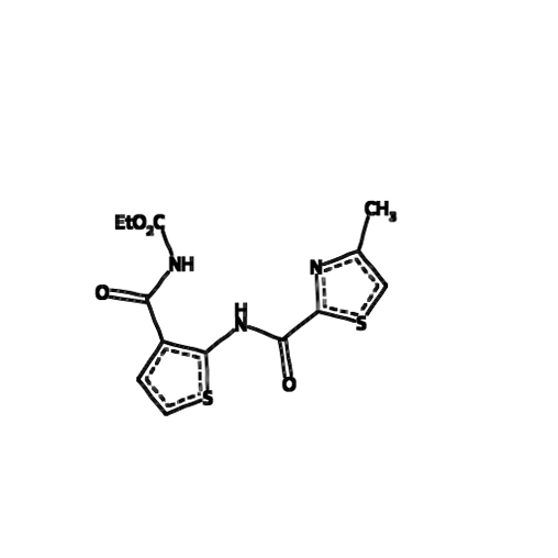 CCOC(=O)NC(=O)c1ccsc1NC(=O)c1nc(C)cs1